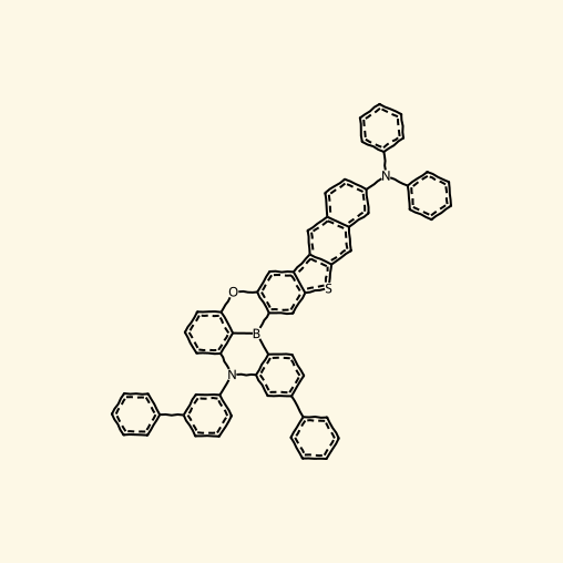 c1ccc(-c2cccc(N3c4cc(-c5ccccc5)ccc4B4c5cc6sc7cc8cc(N(c9ccccc9)c9ccccc9)ccc8cc7c6cc5Oc5cccc3c54)c2)cc1